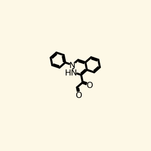 O=CC(=O)C1=c2ccccc2=CN(c2ccccc2)N1